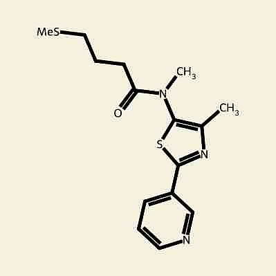 CSCCCC(=O)N(C)c1sc(-c2cccnc2)nc1C